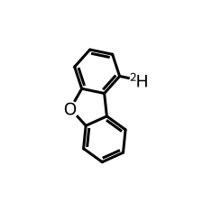 [2H]c1cccc2oc3ccccc3c12